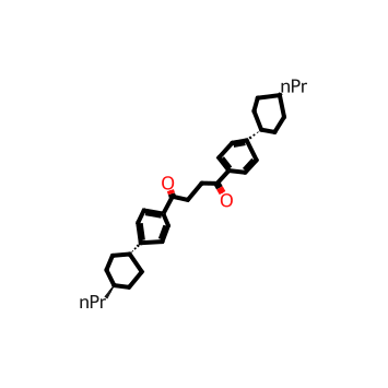 CCC[C@H]1CC[C@H](c2ccc(C(=O)CCC(=O)c3ccc([C@H]4CC[C@H](CCC)CC4)cc3)cc2)CC1